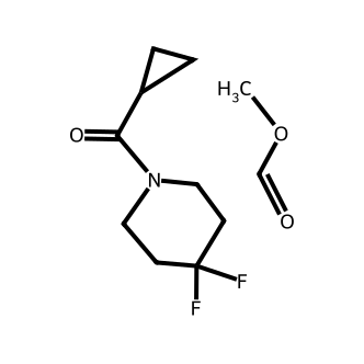 COC=O.O=C(C1CC1)N1CCC(F)(F)CC1